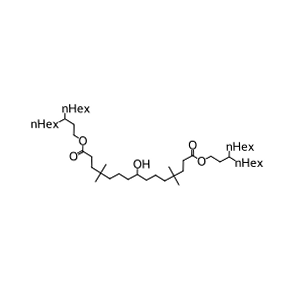 CCCCCCC(CCCCCC)CCOC(=O)CCC(C)(C)CCCC(O)CCCC(C)(C)CCC(=O)OCCC(CCCCCC)CCCCCC